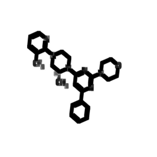 C[C@@H]1CN(c2ncccc2C(F)(F)F)CCN1c1cc(-c2ccccc2)nc(N2CCOCC2)n1